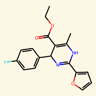 CCOC(=O)C1=C(C)NC(c2ccco2)=NC1c1ccc(F)cc1